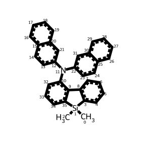 C[Si]1(C)c2ccccc2-c2c(N(c3ccc4ccccc4c3)c3ccc4ccccc4c3)cccc21